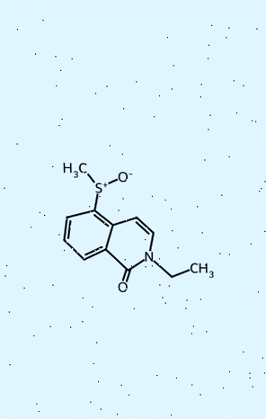 CCn1ccc2c([S+](C)[O-])cccc2c1=O